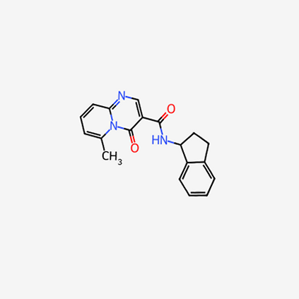 Cc1cccc2ncc(C(=O)NC3CCc4ccccc43)c(=O)n12